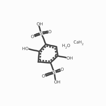 O.O=S(=O)(O)c1cc(O)c(S(=O)(=O)O)cc1O.[CaH2]